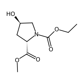 CCOC(=O)N1C[C@H](O)C[C@H]1C(=O)OC